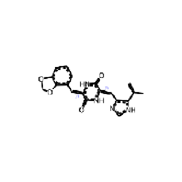 C=C(C)c1[nH]cnc1/C=c1\[nH]c(=O)/c(=C/c2cccc3c2OCO3)[nH]c1=O